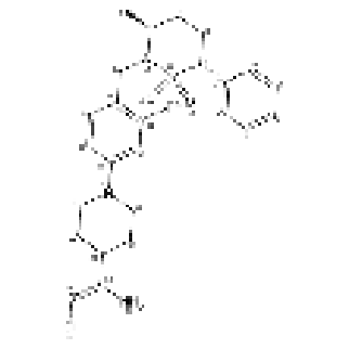 C[C@H]1CC[C@H](c2ccccc2)S(=O)(=O)N1Cc1ccc(N2CCC(/C(N)=N/O)CC2)cc1F